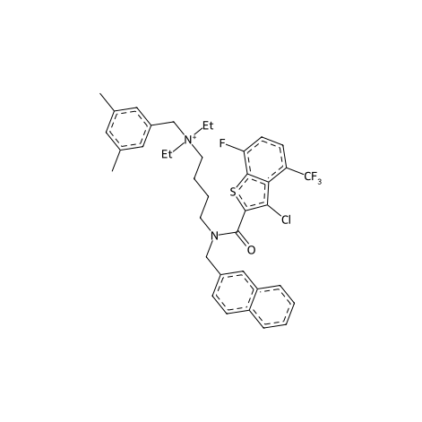 CC[N+](CC)(CCCCN(Cc1ccc2ccccc2c1)C(=O)c1sc2c(F)ccc(C(F)(F)F)c2c1Cl)Cc1cc(C)cc(C)c1